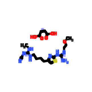 CN/C(=N/C#N)NCCCCc1csc(N/C(N)=N\CCOC)n1.O=C(O)/C=C\C(=O)O